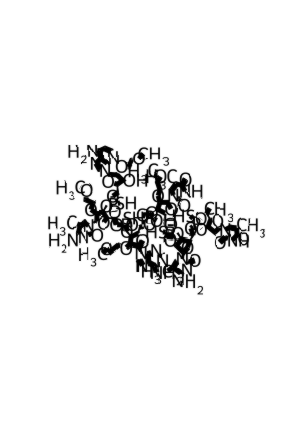 CC[C@H]1O[C@@H](n2cc(C)c(=O)[nH]c2=O)C[C@H]1OP(=O)(S)OC[C@H]1O[C@@H](n2cc(C)c(N)nc2=O)C[C@H]1OP(=O)(S)OC[C@H]1O[C@@H](n2cc(C)c(=O)[nH]c2=O)C(OCCOC)[C@H]1OP(=O)(O)OC[C@H]1O[C@@H](n2cnc3c(N)ncnc32)C(OCCOC)[C@H]1OP(=O)(S)OC[C@H]1O[C@@H](n2cc(C)c(N)nc2=O)C(OCCOC)[C@H]1OP(=O)(S)OC[C@H]1O[C@@H](n2cnc3c(N)ccnc32)C(OCCOC)[C@H]1O